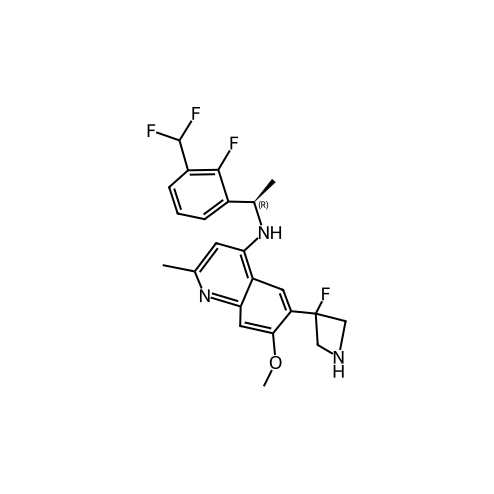 COc1cc2nc(C)cc(N[C@H](C)c3cccc(C(F)F)c3F)c2cc1C1(F)CNC1